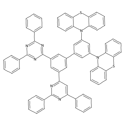 c1ccc(-c2cc(-c3cc(-c4cc(N5c6ccccc6Sc6ccccc65)cc(N5c6ccccc6Sc6ccccc65)c4)cc(-c4nc(-c5ccccc5)nc(-c5ccccc5)n4)c3)nc(-c3ccccc3)n2)cc1